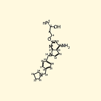 CCCC(O)CCOc1nc(N)c2ccn(Cc3ccc(CN4CCCC4)cc3)c2n1